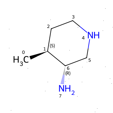 C[C@H]1CCNC[C@@H]1N